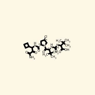 CC(C)(C)C(NC(=O)N[C@H](C(=O)N1C[C@H](Cl)C[C@H]1C(=O)NC(C(=O)C(N)=O)C1CCC1)C(C)(C)C)C(=O)O